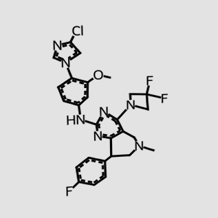 COc1cc(Nc2nc3c(c(N4CC(F)(F)C4)n2)CN(C)CC3c2ccc(F)cc2)ccc1-n1cnc(Cl)c1